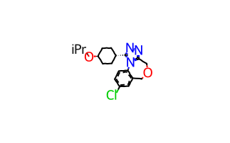 CC(C)O[C@H]1CC[C@H](c2nnc3n2-c2ccc(Cl)cc2COC3)CC1